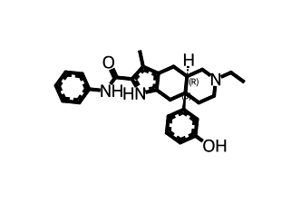 CCN1CC[C@]2(c3cccc(O)c3)Cc3[nH]c(C(=O)Nc4ccccc4)c(C)c3C[C@H]2C1